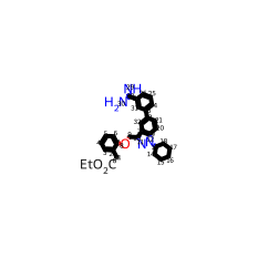 CCOC(=O)Cc1ccccc1OCc1nn(C2CCCCC2)c2ccc(-c3cccc(C(=N)N)c3)cc12